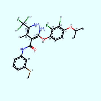 CSc1cccc(NC(=O)C(=C(/N)Oc2ccc(OC(C)C)c(F)c2F)/C(C)=C(\N)C(F)(F)F)c1